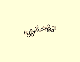 CCc1cccc2c1oc1c(N(c3ccccc3)c3ccc4cc5c(cc4c3)C(C)(C)c3c-5c4ccccc4c4cc(N(c5ccccc5)c5cccc6c5oc5c(CC)cccc56)ccc34)cccc12